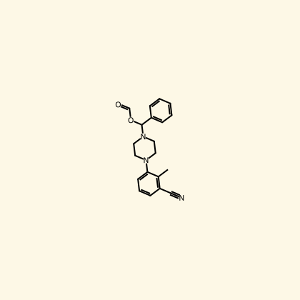 Cc1c(C#N)cccc1N1CCN(C(OC=O)c2ccccc2)CC1